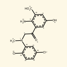 CN(CC(=O)c1cc(O)cc(C(=O)O)c1N)c1cc(Cl)ccc1Cl